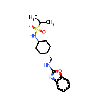 CC(C)S(=O)(=O)N[C@H]1CC[C@H](CNc2nc3ccccc3o2)CC1